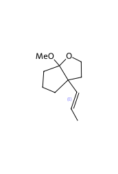 C/C=C/C12CCCC1(OC)OCC2